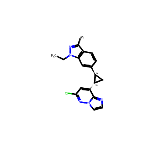 CC(C)c1nn(CC(F)(F)F)c2cc([C@H]3C[C@@H]3c3cc(Cl)nn4ccnc34)ccc12